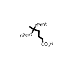 CCCCCC(C)(CCCCC)CCCC(=O)O